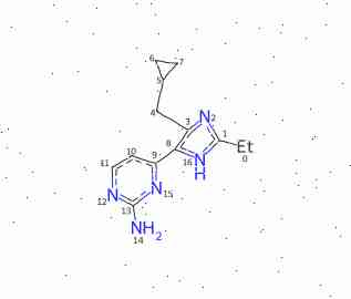 CCc1nc(CC2CC2)c(-c2ccnc(N)n2)[nH]1